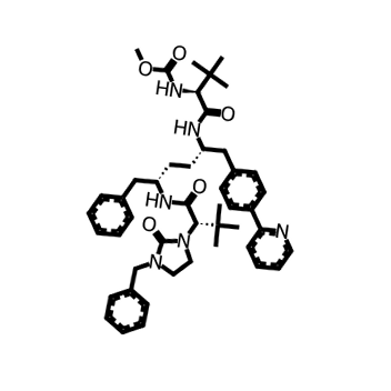 COC(=O)N[C@H](C(=O)N[C@@H](CC[C@@H](Cc1ccccc1)NC(=O)[C@@H](N1CCN(Cc2ccccc2)C1=O)C(C)(C)C)Cc1ccc(-c2ccccn2)cc1)C(C)(C)C